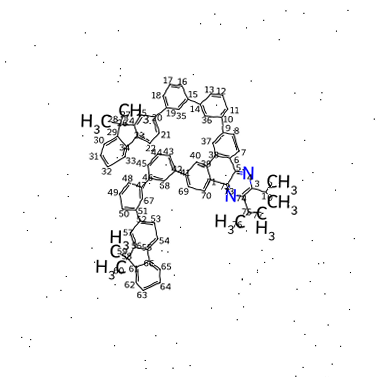 CC(C)c1nc2c3ccc(-c4cccc(-c5cccc(-c6ccc7c(c6)C(C)(C)c6ccccc6-7)c5)c4)cc3c3cc(-c4cccc(-c5cccc(-c6ccc7c(c6)C(C)(C)c6ccccc6-7)c5)c4)ccc3c2nc1C(C)C